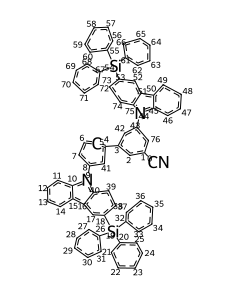 N#Cc1cc(-c2cccc(-n3c4ccccc4c4cc([Si](c5ccccc5)(c5ccccc5)c5ccccc5)ccc43)c2)cc(-n2c3ccccc3c3cc([Si](c4ccccc4)(c4ccccc4)c4ccccc4)ccc32)c1